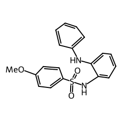 COc1ccc(S(=O)(=O)Nc2ccccc2Nc2ccccc2)cc1